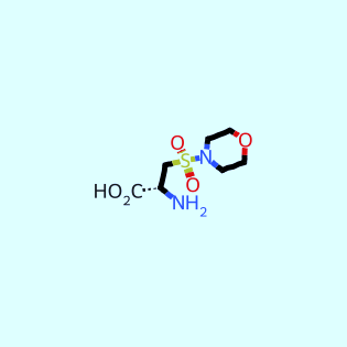 N[C@@H](CS(=O)(=O)N1CCOCC1)C(=O)O